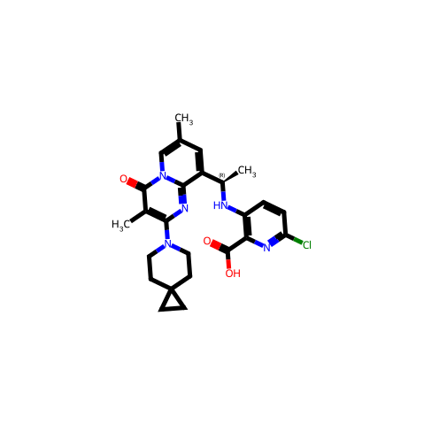 Cc1cc([C@@H](C)Nc2ccc(Cl)nc2C(=O)O)c2nc(N3CCC4(CC3)CC4)c(C)c(=O)n2c1